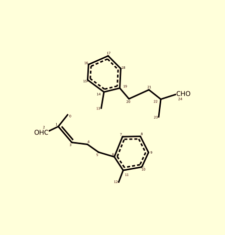 CC(C=O)=CCCc1ccc[c]c1C.Cc1[c]cccc1CCC(C)C=O